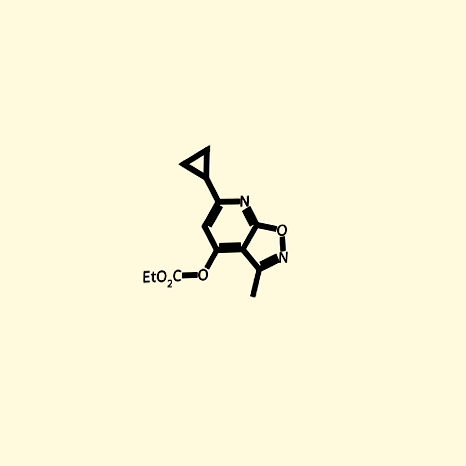 CCOC(=O)Oc1cc(C2CC2)nc2onc(C)c12